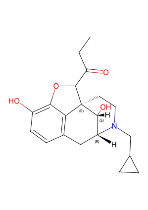 CCC(=O)C1Oc2c(O)ccc3c2[C@@]12CCN(CC1CC1)[C@H](C3)[C@H]2O